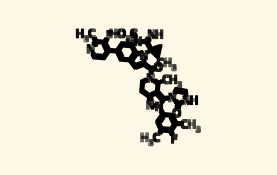 Cc1cc(-n2nc3c(c2-n2cc[nH]c2=O)[C@H](C)N(C(=O)c2cc4cc(-c5ccnc(C)c5F)ccc4n2[C@@]2(C(=N)NC(=O)O)C[C@@H]2C)CC3)cc(C)c1F